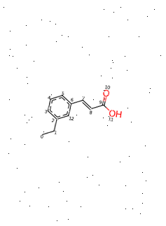 CCc1cccc(C=CC(=O)O)c1